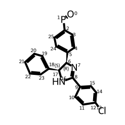 O=Pc1ccc([C@H]2N=C(c3ccc(Cl)cc3)N[C@H]2c2ccccc2)cc1